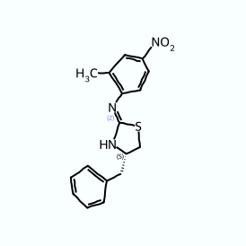 Cc1cc([N+](=O)[O-])ccc1/N=C1/N[C@@H](Cc2ccccc2)CS1